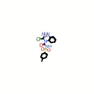 CCC(Cl)N(C(=O)NS(=O)(=O)c1ccc(C)cc1)c1ccccc1N